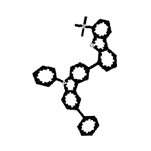 C[Si](C)(C)c1cccc2c1oc1c(-c3ccc4c(c3)c3cc(-c5ccccc5)ccc3n4-c3ccccc3)cccc12